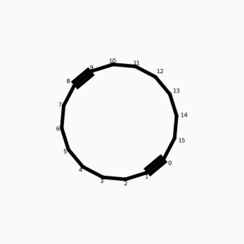 C1#CCCCCCCC#CCCCCCC1